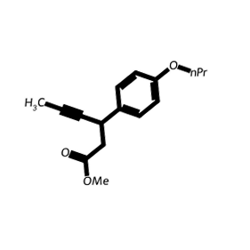 CC#CC(CC(=O)OC)c1ccc(OCCC)cc1